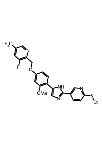 CCSc1ccc(-c2ncc(-c3ccc(OCc4ncc(C(F)(F)F)cc4F)cc3OC)[nH]2)cn1